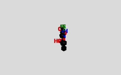 COc1nc(OCC2(CO)C=CC=C(c3ccccc3)C2(C)C)ccc1CNC(=O)C(F)(F)F